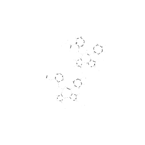 CC(=O)Nc1ncccc1CN1N=C(c2ccc(Cl)cc2)c2c(sc(C)c2C)-n2c(C)nnc21.COC(=O)c1ncccc1CN1N=C(c2ccc(Cl)cc2)c2c(sc(C)c2C)-n2c(C)nnc21